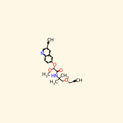 C#CCOCC(C)(C)NC(=O)C(OC)Oc1ccc2ncc(C#C)cc2c1